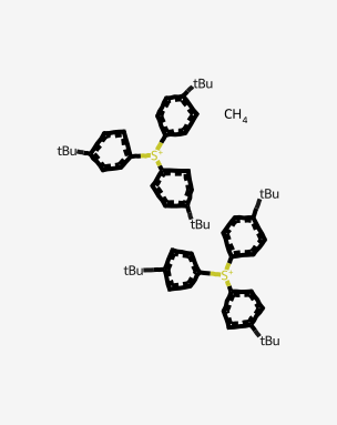 C.CC(C)(C)c1ccc([S+](c2ccc(C(C)(C)C)cc2)c2ccc(C(C)(C)C)cc2)cc1.CC(C)(C)c1ccc([S+](c2ccc(C(C)(C)C)cc2)c2ccc(C(C)(C)C)cc2)cc1